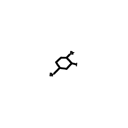 BrC1CCC(Br)C(I)C1